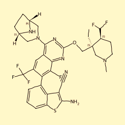 CC[C@@]1(COc2nc(N3C[C@H]4CC[C@@H](C3)N4)c3cc(C(F)(F)F)c(-c4cccc5sc(N)c(C#N)c45)c(F)c3n2)CN(C)CC[C@@H]1C(F)F